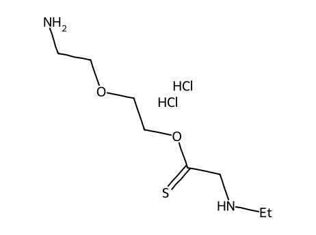 CCNCC(=S)OCCOCCN.Cl.Cl